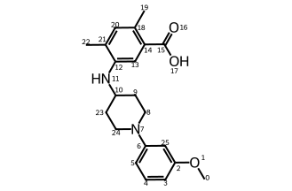 COc1cccc(N2CCC(Nc3cc(C(=O)O)c(C)cc3C)CC2)c1